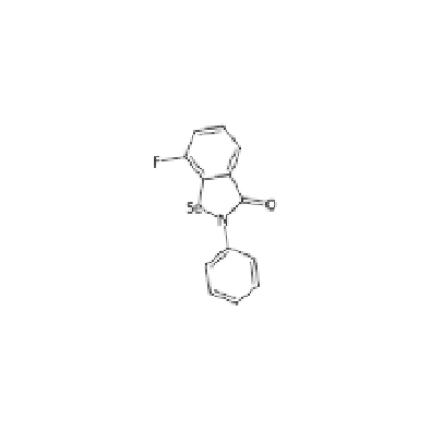 O=c1c2cccc(F)c2[se]n1-c1ccccc1